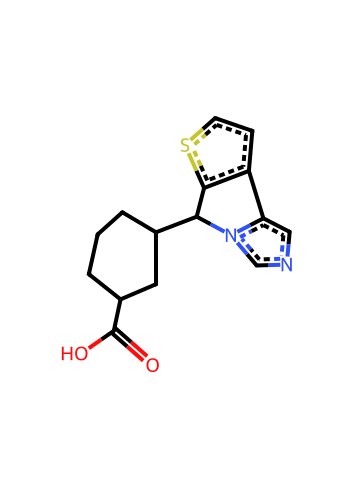 O=C(O)C1CCCC(C2c3sccc3-c3cncn32)C1